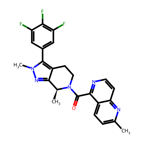 Cc1ccc2c(C(=O)N3CCc4c(nn(C)c4-c4cc(F)c(F)c(F)c4)[C@@H]3C)nccc2n1